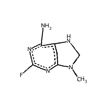 CN1CNc2c(N)nc(F)nc21